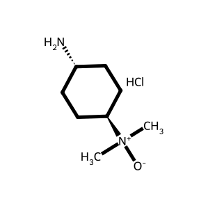 C[N+](C)([O-])[C@H]1CC[C@H](N)CC1.Cl